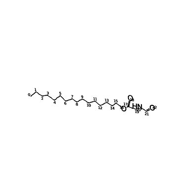 CCCCCCCCCCCCCCCCOC(=O)CNC=O